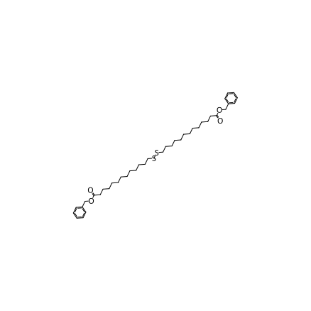 O=C(CCCCCCCCCCCCSSCCCCCCCCCCCCC(=O)OCc1ccccc1)OCc1ccccc1